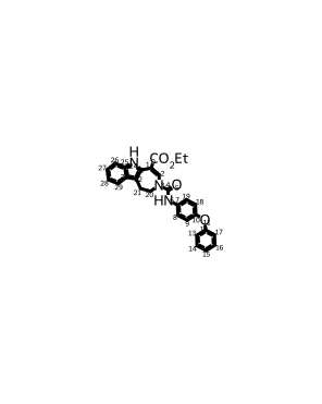 CCOC(=O)C1=CN(C(=O)Nc2ccc(Oc3ccccc3)cc2)CCc2c1[nH]c1ccccc21